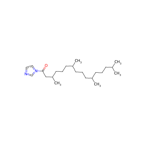 CC(C)CCCC(C)CCCC(C)CCCC(C)CC(=O)n1ccnc1